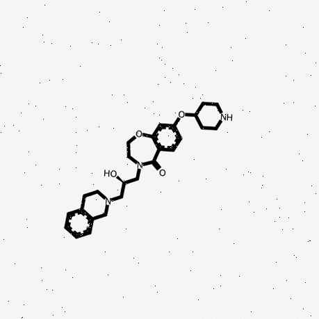 O=C1c2ccc(OC3CCNCC3)cc2OCCN1C[C@H](O)CN1CCc2ccccc2C1